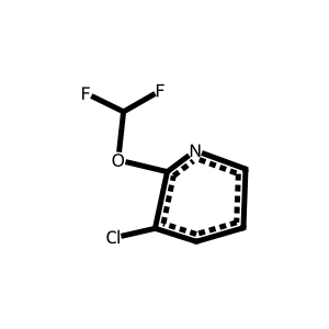 FC(F)Oc1ncccc1Cl